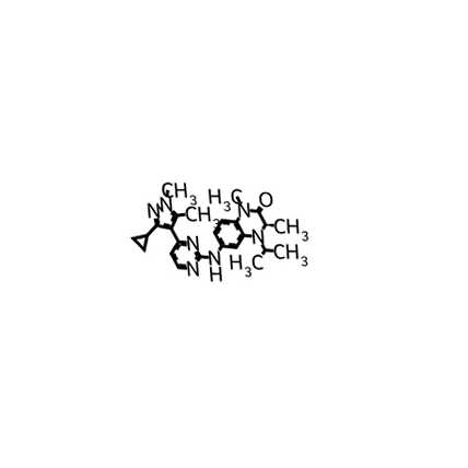 Cc1c(-c2ccnc(Nc3ccc4c(c3)N(C(C)C)[C@H](C)C(=O)N4C)n2)c(C2CC2)nn1C